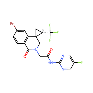 O=C(CN1CC2(C[C@@H]2C(F)(F)F)c2cc(Br)ccc2C1=O)Nc1ncc(F)cn1